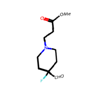 COC(=O)CCN1CCC(F)(C=O)CC1